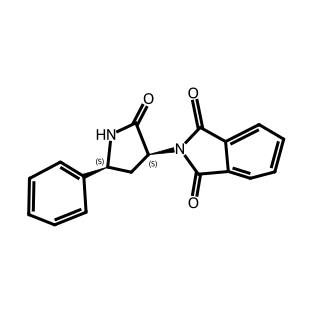 O=C1N[C@H](c2ccccc2)C[C@@H]1N1C(=O)c2ccccc2C1=O